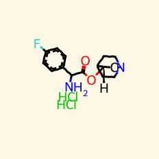 Cl.Cl.NC(C(=O)O[C@H]1CN2CCC1CC2)c1ccc(F)cc1